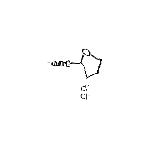 O=C([O-])C1CCCO1.[Cl-].[Cl-].[Mn+3]